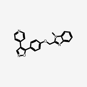 Cn1c(COc2ccc(-c3oncc3-c3ccncc3)cc2)nc2ccccc21